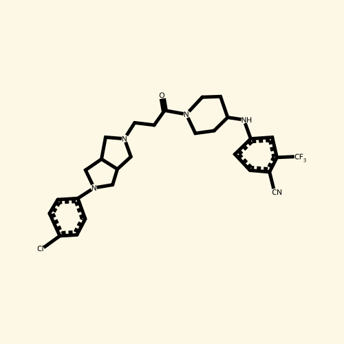 N#Cc1ccc(NC2CCN(C(=O)CCN3CC4CN(c5ccc(Cl)cc5)CC4C3)CC2)cc1C(F)(F)F